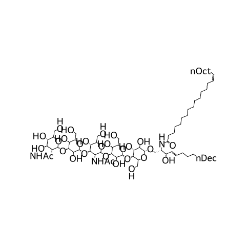 CCCCCCCC/C=C\CCCCCCCCCCCCCC(=O)N[C@@H](CO[C@@H]1OC(CO)[C@@H](O[C@@H]2OC(CO)[C@H](O)[C@H](O[C@@H]3OC(CO)[C@@H](O)[C@H](O[C@@H]4OC(CO)[C@H](O)[C@H](O[C@@H]5OC(CO)[C@@H](O)[C@H](O)C5NC(C)=O)C4O)C3NC(C)=O)C2O)[C@H](O)C1O)[C@H](O)/C=C/CCCCCCCCCCCCC